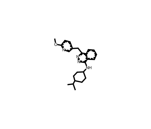 COc1ccc(Cc2nnc(NC3CCC(C(C)C)CC3)c3ccccc23)cn1